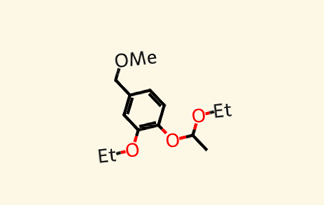 CCOc1cc(COC)ccc1OC(C)OCC